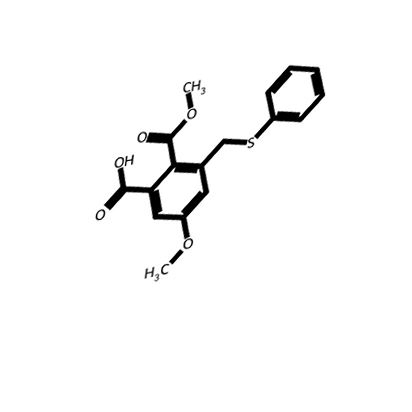 COC(=O)c1c(CSc2ccccc2)cc(OC)cc1C(=O)O